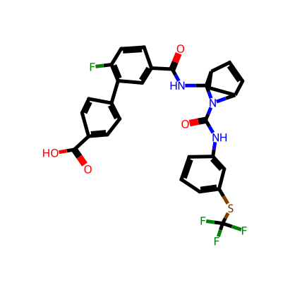 O=C(O)c1ccc(-c2cc(C(=O)NC3C4C=CC(C4)N3C(=O)Nc3cccc(SC(F)(F)F)c3)ccc2F)cc1